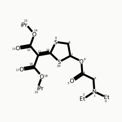 CCN(CC)CC(=O)OC1CSC(=C(C(=O)OC(C)C)C(=O)OC(C)C)S1